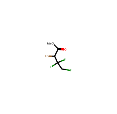 COC(=O)C(S)C(F)(F)CF